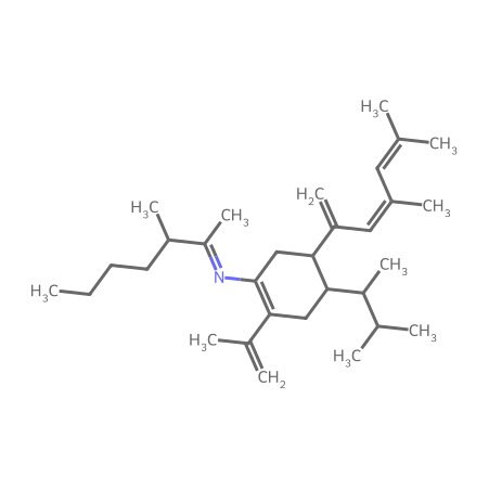 C=C(C)C1=C(/N=C(\C)C(C)CCCC)CC(C(=C)/C=C(/C)C=C(C)C)C(C(C)C(C)C)C1